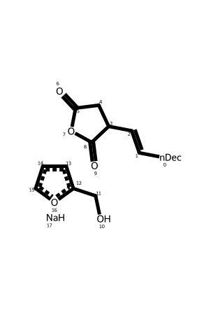 CCCCCCCCCCC=CC1CC(=O)OC1=O.OCc1ccco1.[NaH]